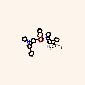 CC1(C)c2ccccc2-c2c1ccc1c2c2ccccc2n1-c1ccc(-c2ccc3c(c2)c2cc(-c4ccccc4)ccc2n3-c2ccccc2)c2c1C1c3ccccc3C2c2ccccc21